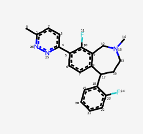 Cc1ccc(-c2ccc3c(c2F)CN(C)CCC3c2ccccc2F)nn1